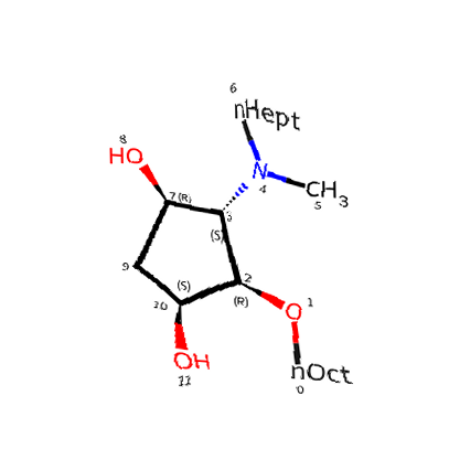 CCCCCCCCO[C@@H]1[C@@H](N(C)CCCCCCC)[C@H](O)C[C@@H]1O